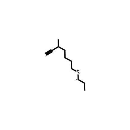 C#CC(C)CCCCS[CH]CC